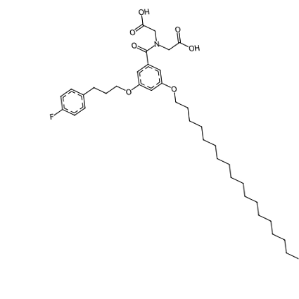 CCCCCCCCCCCCCCCCCCOc1cc(OCCCc2ccc(F)cc2)cc(C(=O)N(CC(=O)O)CC(=O)O)c1